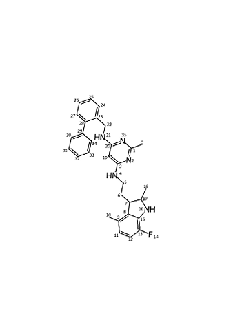 Cc1nc(NCCC2c3c(C)ccc(F)c3NC2C)cc(NCc2ccccc2-c2ccccc2)n1